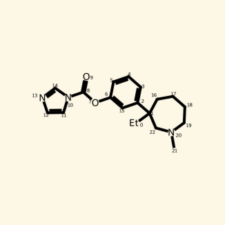 CCC1(c2cccc(OC(=O)n3ccnc3)c2)CCCCN(C)C1